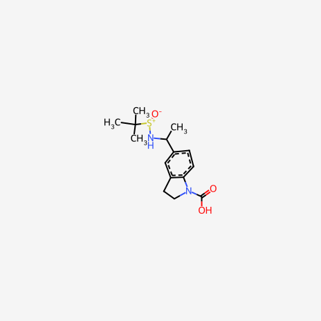 CC(N[S@+]([O-])C(C)(C)C)c1ccc2c(c1)CCN2C(=O)O